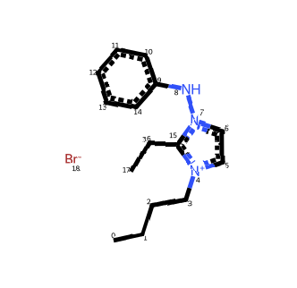 CCCC[n+]1ccn(Nc2ccccc2)c1CC.[Br-]